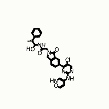 C[C@@H](c1ccccc1)C(O)NC(=O)CN1Cc2ccc(-c3nc(NC4=CNOC=C4)ncc3Cl)cc2C1=O